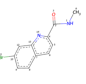 CNC(=O)c1ccc2ccc(Br)cc2n1